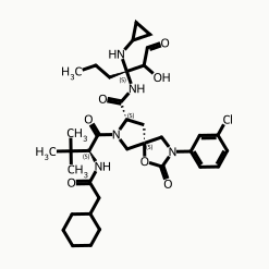 CCC[C@@](NC(=O)[C@@H]1C[C@@]2(CN(c3cccc(Cl)c3)C(=O)O2)CN1C(=O)[C@@H](NC(=O)CC1CCCCC1)C(C)(C)C)(NC1CC1)C(O)C=O